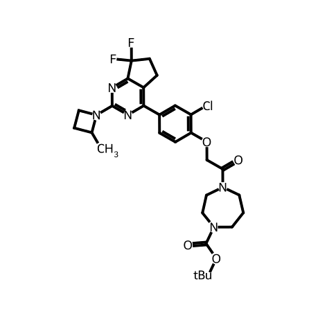 CC1CCN1c1nc(-c2ccc(OCC(=O)N3CCCN(C(=O)OC(C)(C)C)CC3)c(Cl)c2)c2c(n1)C(F)(F)CC2